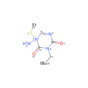 CCS[N+]1(N)C=NC(=O)N(CC(C)(C)C)C1=O